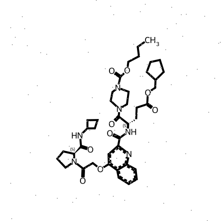 CCCCOC(=O)N1CCN(C(=O)[C@H](CCC(=O)OCC2CCCC2)NC(=O)c2cc(OCC(=O)N3CCC[C@H]3C(=O)NC3CCC3)c3ccccc3n2)CC1